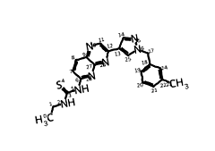 CCNC(=S)Nc1ccc2ncc(-c3cnn(Cc4cccc(C)c4)c3)nc2n1